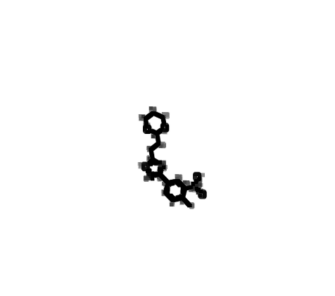 Cc1ccc(-c2noc(CCC3OCCCO3)n2)cc1[N+](=O)[O-]